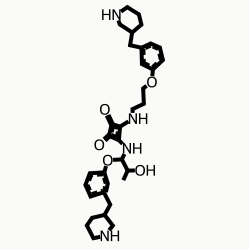 CC(O)C(Nc1c(NCCCOc2cccc(CC3CCCNC3)c2)c(=O)c1=O)Oc1cccc(CC2CCCNC2)c1